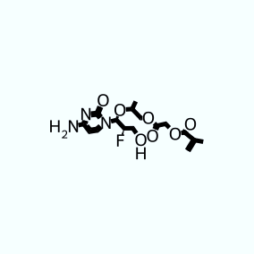 C=C(C)C(=O)OCC(=O)OCC(C)O[C@@H]([C@@H](F)CO)n1ccc(N)nc1=O